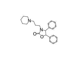 O=C1OC(c2ccccc2)C(c2ccccc2)N1CCCN1CCCCC1